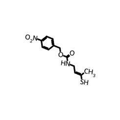 C/C(S)=C\CNC(=O)OCc1ccc([N+](=O)[O-])cc1